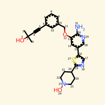 CC(C)(O)C#Cc1cccc(COc2cc(-c3cnc(C4CCN(O)CC4)s3)cnc2N)c1